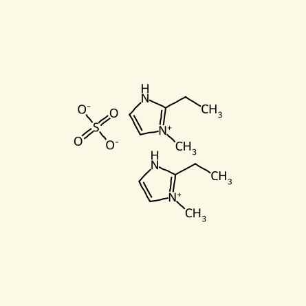 CCc1[nH]cc[n+]1C.CCc1[nH]cc[n+]1C.O=S(=O)([O-])[O-]